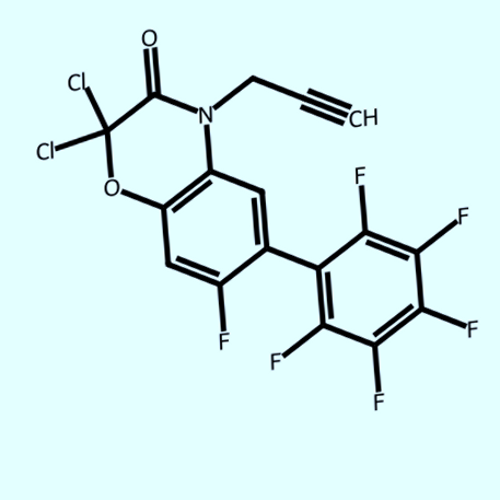 C#CCN1C(=O)C(Cl)(Cl)Oc2cc(F)c(-c3c(F)c(F)c(F)c(F)c3F)cc21